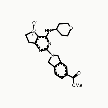 COC(=O)c1ccc2c(c1)CN(c1nc3c(c(NC4CCOCC4)n1)[S@+]([O-])CC3)C2